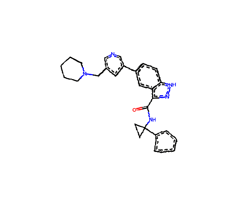 O=C(NC1(c2ccccc2)CC1)c1n[nH]c2ccc(-c3cncc(CN4CCCCC4)c3)cc12